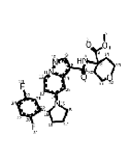 COC(=O)C1(NC(=O)c2cnn3ccc(N4CCC[C@@H]4c4cc(F)ccc4F)cc23)CCOCC1